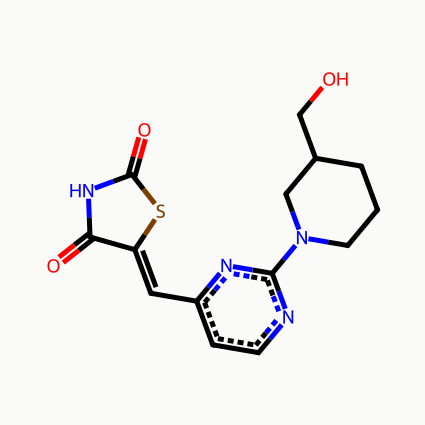 O=C1NC(=O)C(=Cc2ccnc(N3CCCC(CO)C3)n2)S1